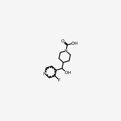 O=C(O)N1CCC(C(O)c2ccncc2F)CC1